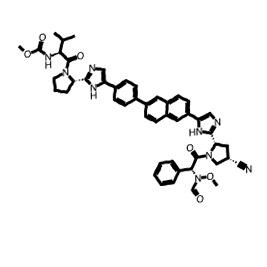 COC(=O)N[C@H](C(=O)N1CCC[C@H]1c1ncc(-c2ccc(-c3ccc4cc(-c5cnc([C@@H]6C[C@H](C#N)CN6C(=O)[C@@H](c6ccccc6)N(C=O)OC)[nH]5)ccc4c3)cc2)[nH]1)C(C)C